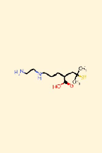 CC(C)(S)CC(CCCNCCN)C(=O)O